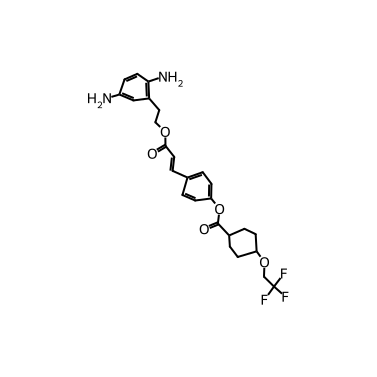 Nc1ccc(N)c(CCOC(=O)C=Cc2ccc(OC(=O)C3CCC(OCC(F)(F)F)CC3)cc2)c1